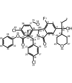 CC[C@@](O)(c1cc(F)c2c(c1)C(=O)N([C@H](c1ccc(Cl)cc1)[C@H](C)C(=O)Oc1ccccc1)[C@@]2(OC)c1ccc(Cl)cc1)C1CCOCC1